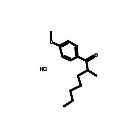 CCCCCC(C)C(=O)c1ccc(OC)cc1.Cl